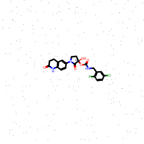 O=C1CCc2cc(N3CC[C@](O)(OC(=O)NCc4cc(Cl)ccc4F)C3=O)ccc2N1